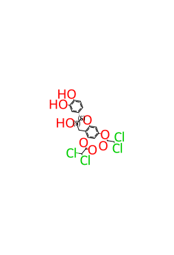 O=C(Oc1cc(OC(=O)C(Cl)Cl)c2c(c1)O[C@@H](c1ccc(O)c(O)c1)[C@@H](O)C2)C(Cl)Cl